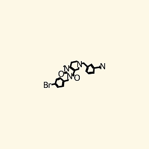 Cn1c2c(c(=O)n(Cc3ccc(Br)cc3)c1=O)CN(Cc1cccc(C#N)c1)CC2